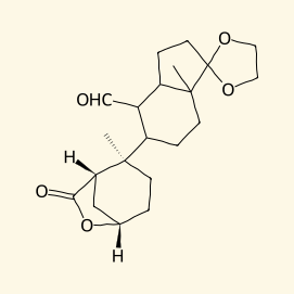 CC12CCC([C@@]3(C)CC[C@H]4C[C@@H]3C(=O)O4)C(C=O)C1CCC21OCCO1